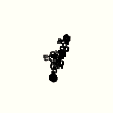 CCC(=O)C(=O)N[C@@H](Cc1ccc(OC(=O)OCc2ccccc2Br)cc1)C(=O)NNC(=O)OCc1ccccc1